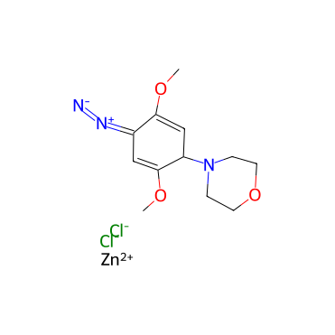 COC1=CC(N2CCOCC2)C(OC)=CC1=[N+]=[N-].[Cl-].[Cl-].[Zn+2]